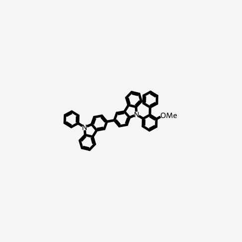 COc1cccc(-n2c3ccccc3c3cc(-c4ccc5c(c4)c4ccccc4n5-c4ccccc4)ccc32)c1-c1ccccc1